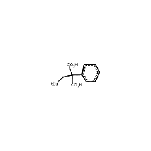 CC(C)(C)CC(C(=O)O)(C(=O)O)c1ccccc1